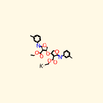 CCOC(=O)C1=C(OC2=C(C(=O)OCC)C(=Nc3cccc(C)c3)OC2)COC1=Nc1cccc(C)c1.[K]